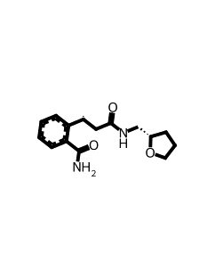 NC(=O)c1ccccc1[CH]CC(=O)NC[C@@H]1CCCO1